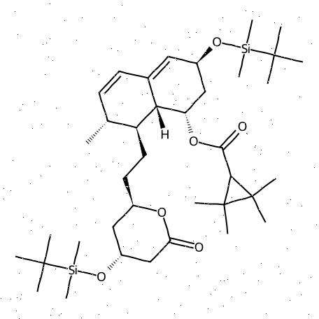 C[C@@H]1C=CC2=C[C@@H](O[Si](C)(C)C(C)(C)C)C[C@H](OC(=O)C3C(C)(C)C3(C)C)[C@@H]2[C@H]1CC[C@@H]1C[C@@H](O[Si](C)(C)C(C)(C)C)CC(=O)O1